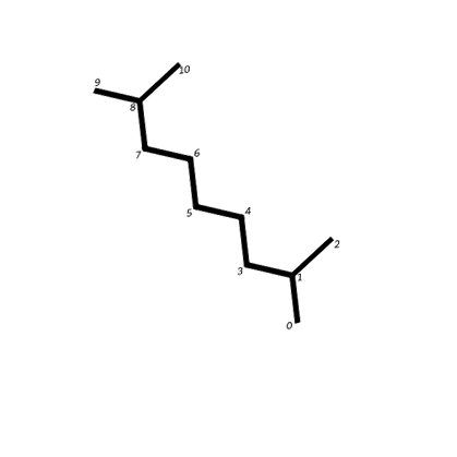 CC(C)CCCCCC(C)C